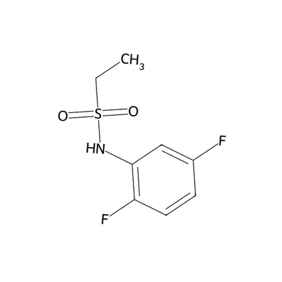 CCS(=O)(=O)Nc1cc(F)ccc1F